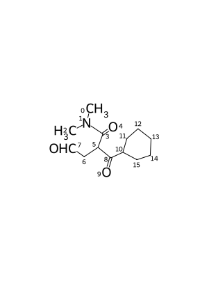 CN(C)C(=O)C(CC=O)C(=O)C1CCCCC1